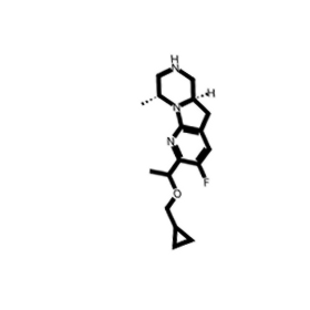 CC(OCC1CC1)c1nc2c(cc1F)C[C@@H]1CNC[C@@H](C)N21